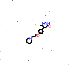 Cc1n[nH]c(=O)cc1-c1ccc(OCCCN2CCCCCC2)cc1